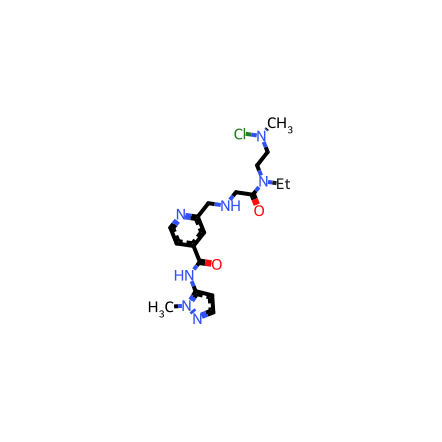 CCN(CCN(C)Cl)C(=O)CNCc1cc(C(=O)Nc2ccnn2C)ccn1